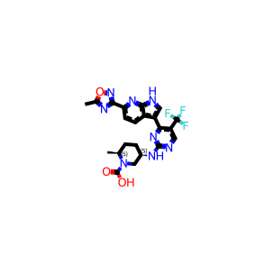 Cc1nc(-c2ccc3c(-c4nc(N[C@H]5CC[C@H](C)N(C(=O)O)C5)ncc4C(F)(F)F)c[nH]c3n2)no1